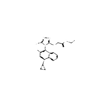 CCOC(=O)CSc1nnc(Br)n1-c1c(Cl)cc(C2CC2)c2ccccc12